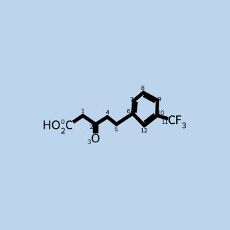 O=C(O)CC(=O)CCc1cccc(C(F)(F)F)c1